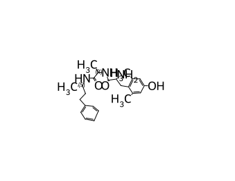 Cc1cc(O)cc(C)c1CC(N)C(=O)N[C@H](C)C(=O)N[C@@H](C)CCc1ccccc1